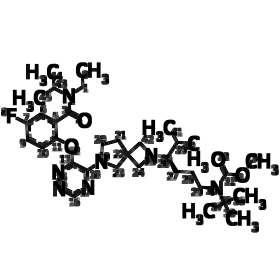 CCN(C(=O)c1cc(F)ccc1Oc1nncnc1N1CCC2(C1)CN([C@H](CCCN(C(=O)OC)C(C)(C)C)C(C)C)C2)C(C)C